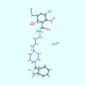 CCc1cc(Cl)c(OC)c(C(=O)NCCCCN2CCN(c3snc4ccccc34)CC2)c1O.Cl